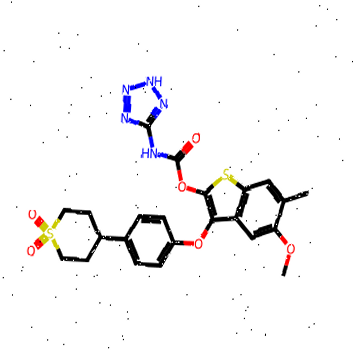 COc1cc2c(Oc3ccc(C4CCS(=O)(=O)CC4)cc3)c(OC(=O)Nc3nn[nH]n3)sc2cc1C